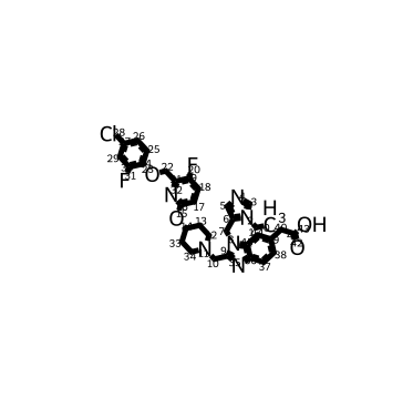 CCn1cncc1Cn1c(CN2CCC(Oc3ccc(F)c(COc4ccc(Cl)cc4F)n3)CC2)nc2ccc(CC(=O)O)cc21